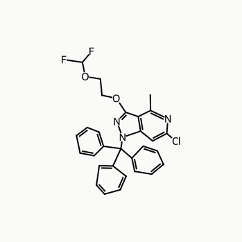 Cc1nc(Cl)cc2c1c(OCCOC(F)F)nn2C(c1ccccc1)(c1ccccc1)c1ccccc1